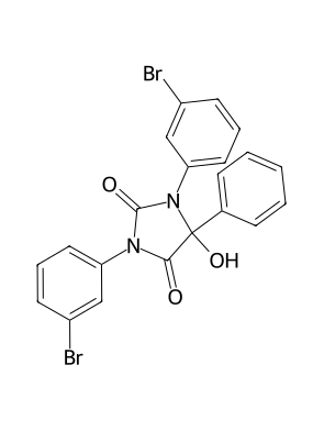 O=C1N(c2cccc(Br)c2)C(=O)C(O)(c2ccccc2)N1c1cccc(Br)c1